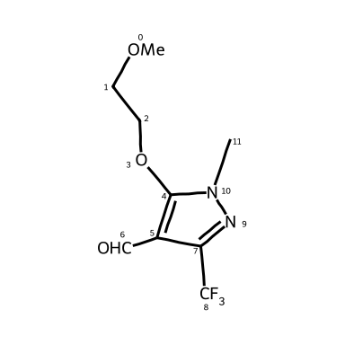 COCCOc1c(C=O)c(C(F)(F)F)nn1C